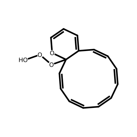 OOOC12\C=C/C=C\C=C/C=C\C=C/C1=CC=CO2